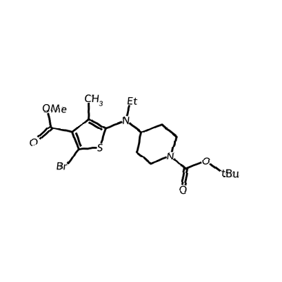 CCN(c1sc(Br)c(C(=O)OC)c1C)C1CCN(C(=O)OC(C)(C)C)CC1